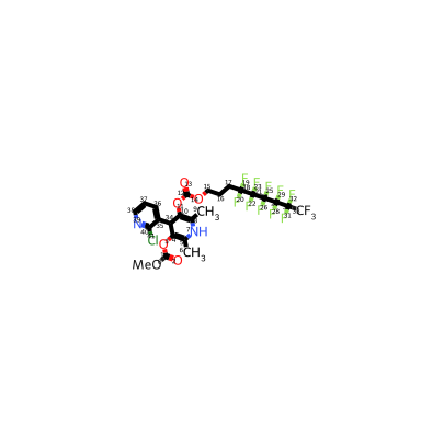 COC(=O)OC1=C(C)NC(C)=C(OC(=O)OCCCC(F)(F)C(F)(F)C(F)(F)C(F)(F)C(F)(F)C(F)(F)F)C1c1cccnc1Cl